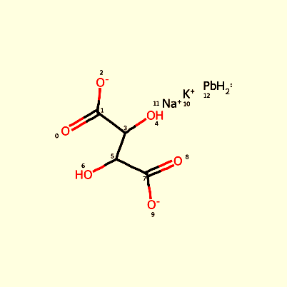 O=C([O-])C(O)C(O)C(=O)[O-].[K+].[Na+].[PbH2]